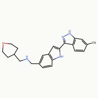 N#Cc1ccc2c(-c3cc4cc(CNCC5CCOCC5)ccc4[nH]3)n[nH]c2c1